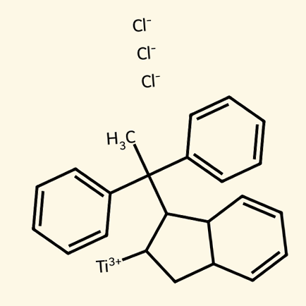 CC(c1ccccc1)(c1ccccc1)C1[CH]([Ti+3])CC2C=CC=CC21.[Cl-].[Cl-].[Cl-]